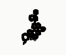 CC1(C2CCCCCC(CI)C2)c2ccccc2-c2c(N(c3ccc(-c4ccc(-c5ccccc5)c5ccccc45)cc3)c3ccccc3-c3ccccc3C3CC4CC3C4)cccc21